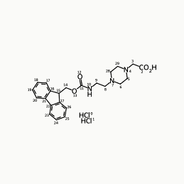 Cl.Cl.O=C(O)CN1CCN(CCNC(=O)OCC2c3ccccc3-c3ccccc32)CC1